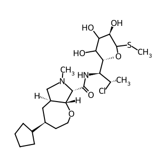 CSC1O[C@H]([C@H](NC(=O)[C@@H]2[C@@H]3OCC[C@@H](C4CCCC4)C[C@H]3CN2C)[C@H](C)Cl)C(O)C(O)[C@H]1O